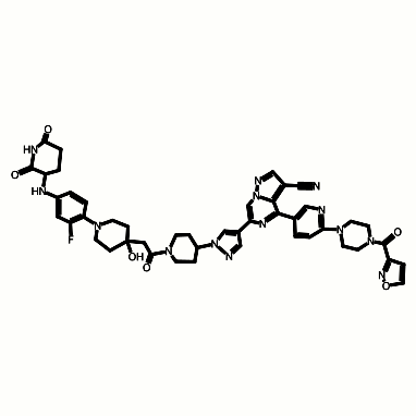 N#Cc1cnn2cc(-c3cnn(C4CCN(C(=O)CC5(O)CCN(c6ccc(NC7CCC(=O)NC7=O)cc6F)CC5)CC4)c3)nc(-c3ccc(N4CCN(C(=O)c5ccon5)CC4)nc3)c12